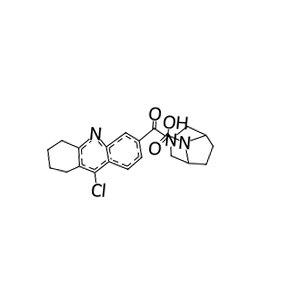 O=C(c1ccc2c(Cl)c3c(nc2c1)CCCC3)N1CC2CCC(C1)N2C(=O)O